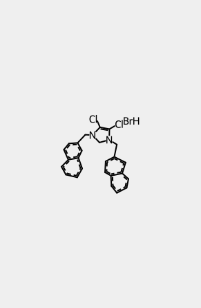 Br.ClC1=C(Cl)N(Cc2ccc3ccccc3c2)CN1Cc1ccc2ccccc2c1